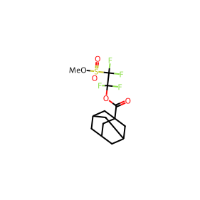 COS(=O)(=O)C(F)(F)C(F)(F)OC(=O)C12CC3CC(CC(C3)C1)C2